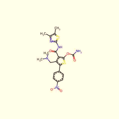 Cc1nc(NC(=O)c2c(OC(N)=O)sc(-c3ccc([N+](=O)[O-])cc3)c2CN(C)C)sc1C